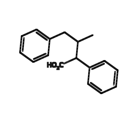 CC(Cc1ccccc1)C(C(=O)O)c1ccccc1